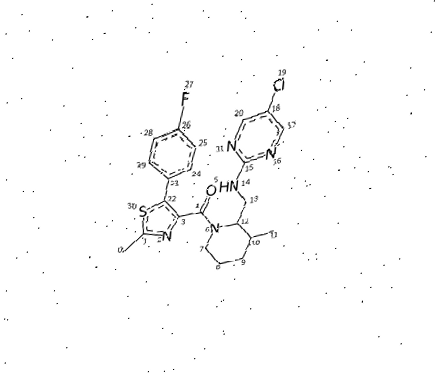 Cc1nc(C(=O)N2CCCC(C)C2CNc2ncc(Cl)cn2)c(-c2ccc(F)cc2)s1